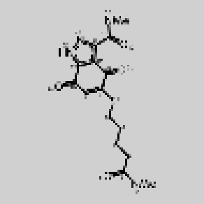 CNC(=O)CCCCSC1=CC(=O)c2[nH]nc(C(=O)NC)c2C1=O